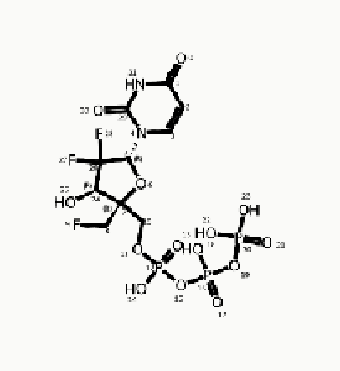 O=c1ccn([C@@H]2O[C@](CF)(COP(=O)(O)OP(=O)(O)OP(=O)(O)O)[C@@H](O)C2(F)F)c(=O)[nH]1